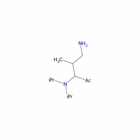 CC(=O)C(C(C)CN)N(C(C)C)C(C)C